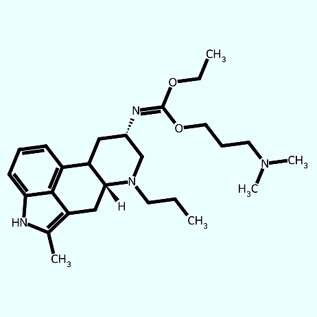 CCCN1C[C@@H](N=C(OCC)OCCCN(C)C)CC2c3cccc4[nH]c(C)c(c34)C[C@H]21